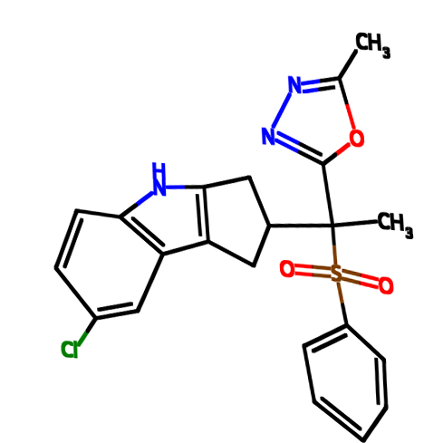 Cc1nnc(C(C)(C2Cc3[nH]c4ccc(Cl)cc4c3C2)S(=O)(=O)c2ccccc2)o1